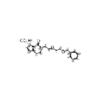 O=C(O)c1coc2c1C(=O)N(CCOCCOCc1ccccc1)CC2